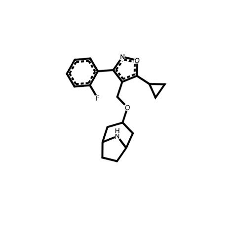 Fc1ccccc1-c1noc(C2CC2)c1COC1CC2CCC(C1)N2